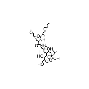 CCCOCCOC(=O)NC(COCCOC)C(=O)NCC(=O)NC1C(O)CC(CC(C)C)(C(=O)O)OC1C(O)C(O)CO